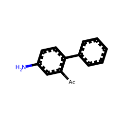 CC(=O)c1cc(N)ccc1-c1ccccc1